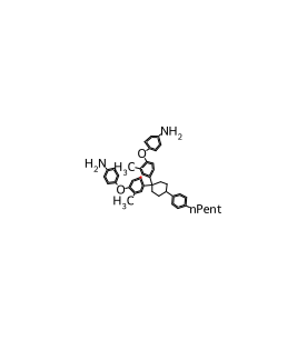 CCCCCc1ccc(C2CCC(c3ccc(Oc4ccc(N)cc4)c(C)c3)(c3ccc(Oc4ccc(N)cc4)c(C)c3)CC2)cc1